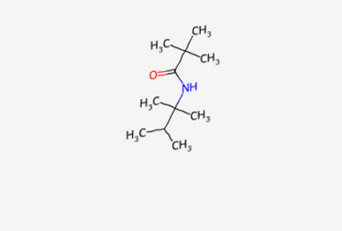 CC(C)C(C)(C)NC(=O)C(C)(C)C